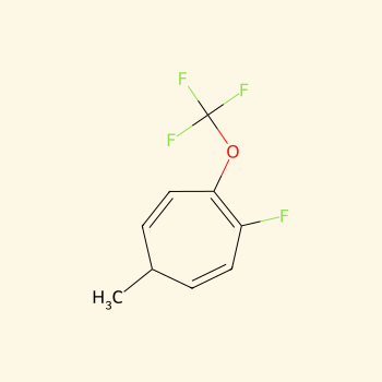 CC1C=CC(F)=C(OC(F)(F)F)C=C1